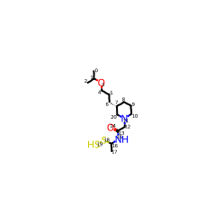 CC(C)OCCC[C@@H]1CCCN(CC(=O)NC(C)SS)C1